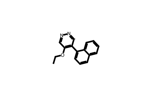 CCOc1cnn[c]c1-c1cccc2ccccc12